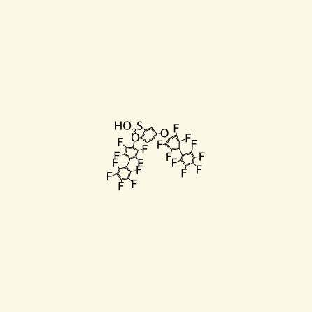 O=S(=O)(O)c1cc(Oc2c(F)c(F)c(-c3c(F)c(F)c(F)c(F)c3F)c(F)c2F)ccc1Oc1c(F)c(F)c(-c2c(F)c(F)c(F)c(F)c2F)c(F)c1F